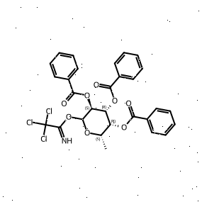 C[C@@H]1OC(OC(=N)C(Cl)(Cl)Cl)[C@@H](OC(=O)c2ccccc2)[C@H](OC(=O)c2ccccc2)[C@@H]1OC(=O)c1ccccc1